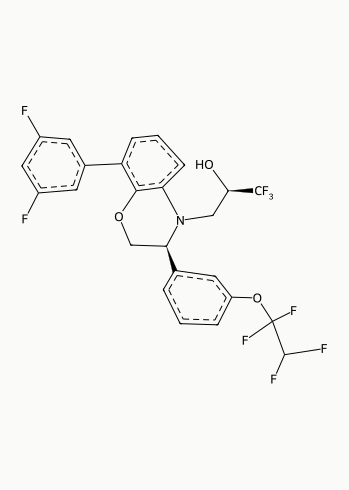 O[C@H](CN1c2cccc(-c3cc(F)cc(F)c3)c2OC[C@@H]1c1cccc(OC(F)(F)C(F)F)c1)C(F)(F)F